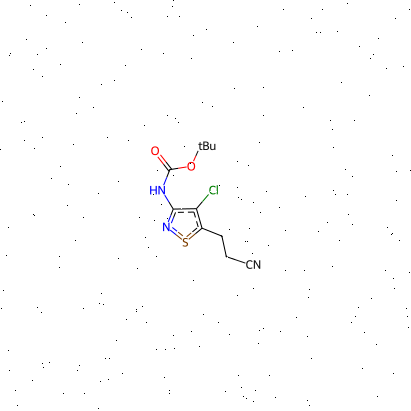 CC(C)(C)OC(=O)Nc1nsc(CCC#N)c1Cl